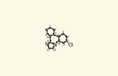 Clc1ccc2c3ccccc3c3nccn3c2c1